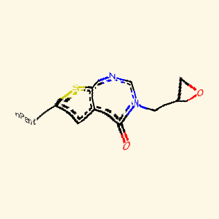 CCCCCc1cc2c(=O)n(CC3CO3)cnc2s1